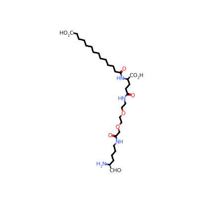 N[C@H]([C]=O)CCCCNC(=O)COCCOCCNC(=O)CCC(NC(=O)CCCCCCCCCCCCC(=O)O)C(=O)O